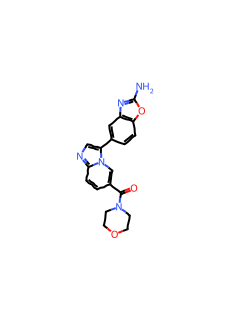 Nc1nc2cc(-c3cnc4ccc(C(=O)N5CCOCC5)cn34)ccc2o1